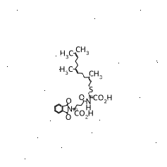 CC(C)=CCCC(C)=CCCC(C)=CCSC[C@H](NC(=O)CC[C@H](C(=O)O)N1C(=O)c2ccccc2C1=O)C(=O)O